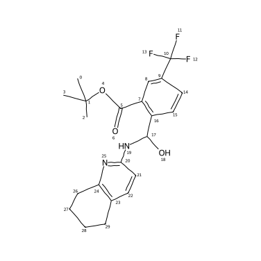 CC(C)(C)OC(=O)c1cc(C(F)(F)F)ccc1C(O)Nc1ccc2c(n1)CCCC2